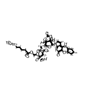 CCCCCCCCCCCCCCC(=O)OCOP(=O)(O)CS(=O)(=O)C[C@H]1O[C@@H](n2ccc3c(NC4CCCC4)c(C#N)c(Cl)nc32)[C@@H]2OC(=O)O[C@@H]21